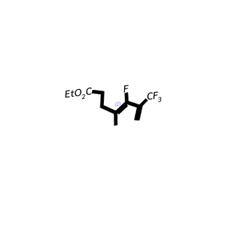 C=C(/C(F)=C(\C)CCC(=O)OCC)C(F)(F)F